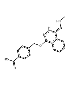 CN/N=c1\[nH]nc(OCc2ccc(C(=O)O)cn2)c2ccccc12